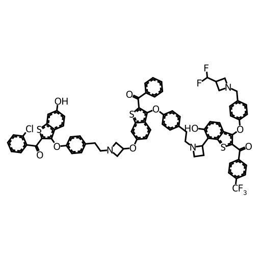 O=C(c1ccccc1)c1sc2cc(OC3CN(CCc4ccc(Oc5c(C(=O)c6ccccc6Cl)sc6cc(O)ccc56)cc4)C3)ccc2c1Oc1ccc(CCN2CCC2c2c(O)ccc3c(Oc4ccc(CN5CC(C(F)F)C5)cc4)c(C(=O)c4ccc(C(F)(F)F)cc4)sc23)cc1